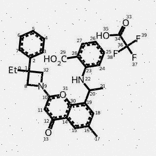 CCC1(c2ccccc2)CN(c2cc(=O)c3cc(C)cc(C(C)Nc4ccccc4C(=O)O)c3o2)C1.O=C(O)C(F)(F)F